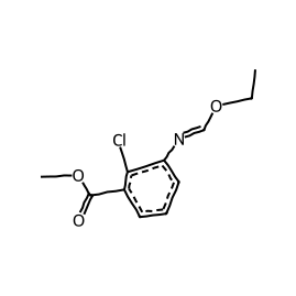 CCOC=Nc1cccc(C(=O)OC)c1Cl